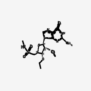 CCO[C@H]1[C@@H](OC)[C@H](n2cnc3c(=O)[nH]c(N)nc32)O[C@@H]1CS(=O)(=O)NC